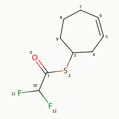 O=C(SC1CC=CCCC1)C(F)F